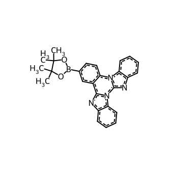 CC1(C)OB(c2ccc3c(c2)c2nc4ccccc4n2c2nc4ccccc4n32)OC1(C)C